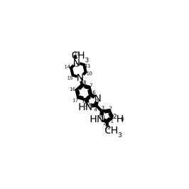 [2H]c1cc(-c2nc3cc(N4CCN(C)CC4)ccc3[nH]2)[nH]c1C